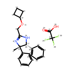 C[C@@]1(c2ccccc2)N=C(COC2CCC2)N[C@@H]1c1ccccc1.O=C(O)C(F)(F)F